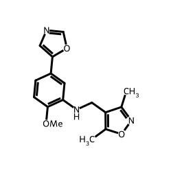 COc1ccc(-c2cnco2)cc1NCc1c(C)noc1C